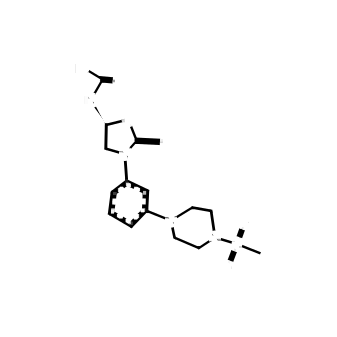 CCC(=O)N[C@@H]1CN(c2cccc(N3CCN(S(C)(=O)=O)CC3)c2)C(=O)O1